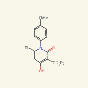 CCOC(=O)C1=C(O)CC(CC)N(c2ccc(OC)cc2)C1=O